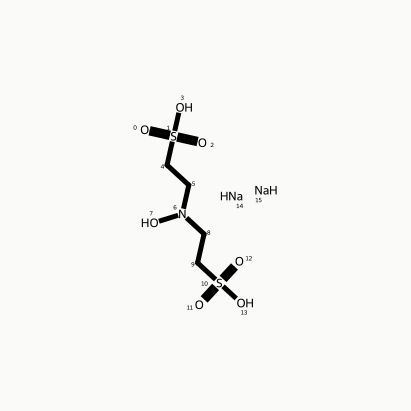 O=S(=O)(O)CCN(O)CCS(=O)(=O)O.[NaH].[NaH]